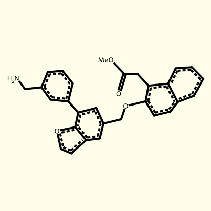 COC(=O)Cc1c(OCc2cc(-c3cccc(CN)c3)c3occc3c2)ccc2ccccc12